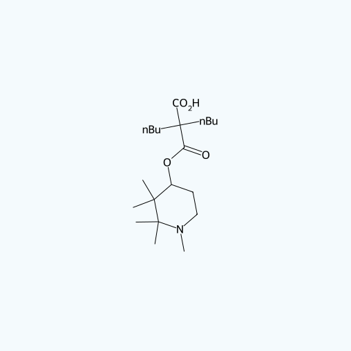 CCCCC(CCCC)(C(=O)O)C(=O)OC1CCN(C)C(C)(C)C1(C)C